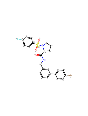 O=C(NCc1cccc(-c2ccc(Br)cc2)c1)[C@@H]1CCCN1S(=O)(=O)c1ccc(F)cc1